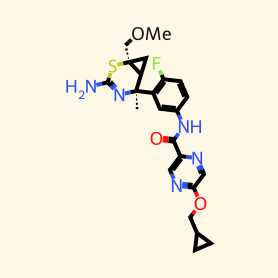 COC[C@]12CC1[C@@](C)(c1cc(NC(=O)c3cnc(OCC4CC4)cn3)ccc1F)N=C(N)S2